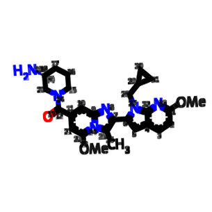 COc1ccc2cc(-c3nc4cc(C(=O)N5CCC[C@@H](N)C5)cc(OC)n4c3C)n(CC3CC3)c2n1